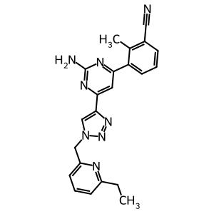 CCc1cccc(Cn2cc(-c3cc(-c4cccc(C#N)c4C)nc(N)n3)nn2)n1